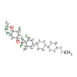 CCCC1CCC(C2CCC(c3cc(F)c(C(F)(F)Oc4cc(F)c(OC(F)F)c(F)c4)c(F)c3)CC2)CC1